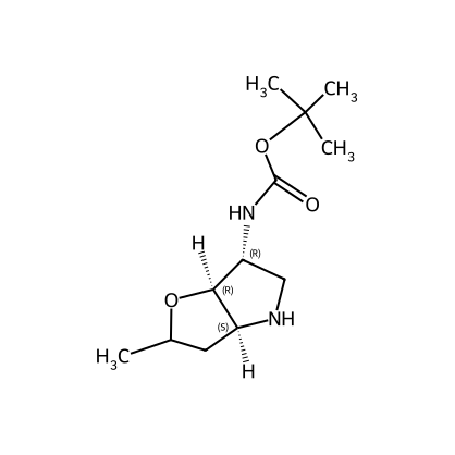 CC1C[C@@H]2NC[C@@H](NC(=O)OC(C)(C)C)[C@@H]2O1